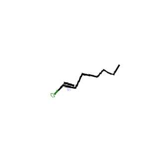 CCCCC/C=C/Cl